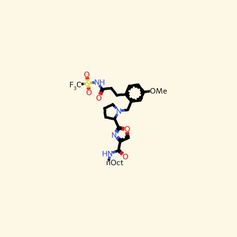 CCCCCCCCNC(=O)c1coc(C2CCCN2Cc2cc(OC)ccc2CCC(=O)NS(=O)(=O)C(F)(F)F)n1